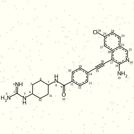 N=C(N)NC1CCC(NC(=O)c2ccc(C#Cc3c(N)ncc4ccc(Cl)cc34)cc2)CC1